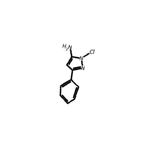 Nc1cc(-c2ccccc2)nn1Cl